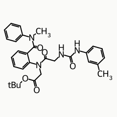 Cc1cccc(NC(=O)NCC(=O)N(CC(=O)OC(C)(C)C)c2ccccc2C(=O)N(C)c2ccccc2)c1